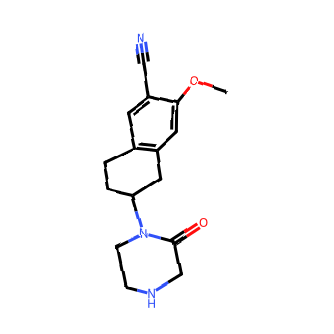 COc1cc2c(cc1C#N)CCC(N1CCNCC1=O)C2